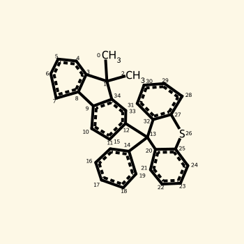 CC1(C)c2ccccc2-c2ccc(C3(c4ccccc4)c4ccccc4Sc4ccccc43)cc21